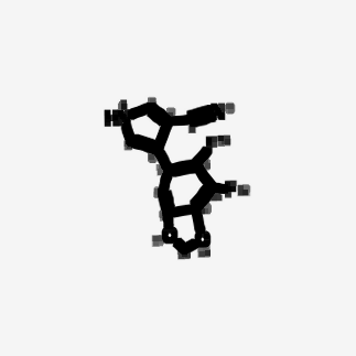 N#Cc1c[nH]cc1-c1cc2c(c(F)c1F)OCO2